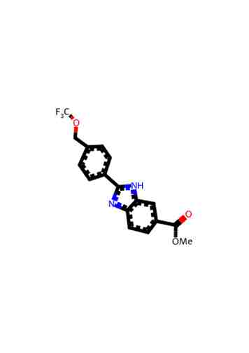 COC(=O)c1ccc2nc(-c3ccc(COC(F)(F)F)cc3)[nH]c2c1